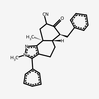 Cn1nc2c(c1-c1ccccc1)CC[C@H]1[C@H](Cc3ccccc3)C(=O)C(C#N)C[C@]21C